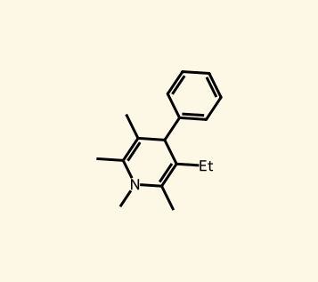 CCC1=C(C)N(C)C(C)=C(C)C1c1ccccc1